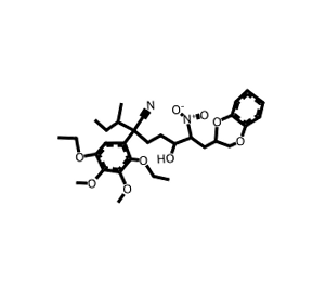 CCOc1cc(C(C#N)(CCC(O)C(CC2COc3ccccc3O2)[N+](=O)[O-])C(C)CC)c(OCC)c(OC)c1OC